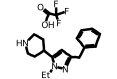 CCn1nc(Cc2ccccc2)cc1C1CCNCC1.O=C(O)C(F)(F)F